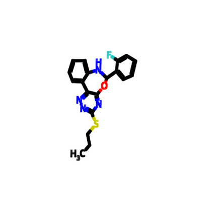 CCCSc1nnc2c(n1)OC(c1ccccc1F)Nc1ccccc1-2